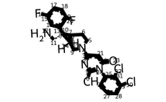 Cc1nc(N2CC[C@@H]3[C@H](C2)[C@@]3(CN)c2cc(F)ccc2F)cc(=O)n1-c1cccc(Cl)c1Cl